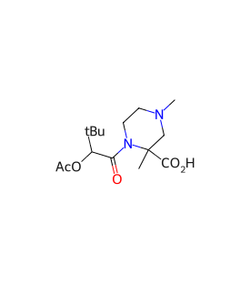 CC(=O)OC(C(=O)N1CCN(C)CC1(C)C(=O)O)C(C)(C)C